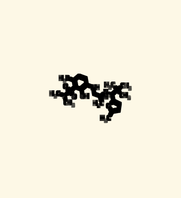 Bc1ccc(NCC(=C)N[C@@H](c2ccc(C)o2)C(C)(C)C)c(O)c1S(=O)(=O)N(C)C